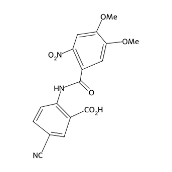 COc1cc(C(=O)Nc2ccc(C#N)cc2C(=O)O)c([N+](=O)[O-])cc1OC